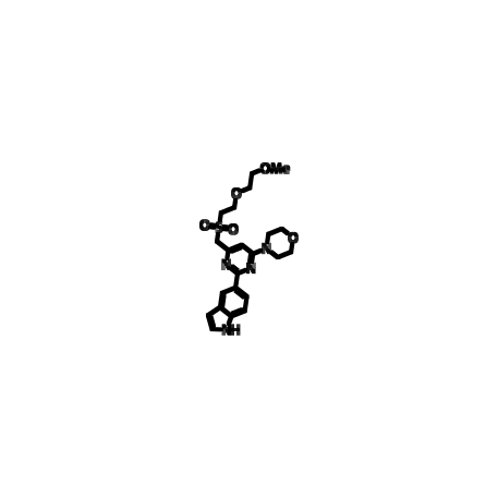 COCCOCCS(=O)(=O)Cc1cc(N2CCOCC2)nc(-c2ccc3[nH]ccc3c2)n1